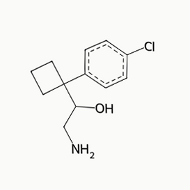 NCC(O)C1(c2ccc(Cl)cc2)CCC1